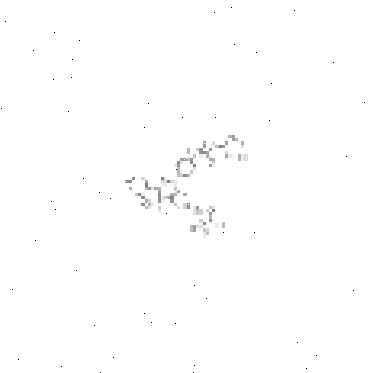 CC(CO)NC(=O)Nc1ccc(-c2nc(N3CCOC[C@@H]3C)nc3c2CN(C(C)C)C3)cc1.O=C(O)C(F)(F)F